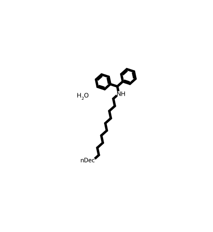 CCCCCCCCCCCCCCCCCCCCNC(c1ccccc1)c1ccccc1.O